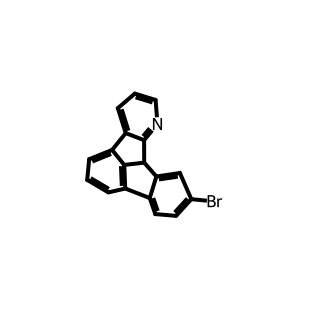 Brc1ccc2c(c1)C1c3ncccc3-c3cccc-2c31